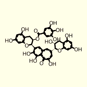 O=C(O[C@@H]1Cc2c(O)cc(O)cc2O[C@@H]1c1cc2cc([C@H]3Oc4cc(O)cc(O)c4C[C@H]3O)cc(O)c(=O)c2c(O)c1O)c1cc(O)c(O)c(O)c1